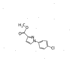 COC(=O)c1ccn(-c2ccc(Cl)cc2)n1